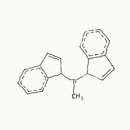 [CH3][Ti]([CH]1C=Cc2ccccc21)[CH]1C=Cc2ccccc21